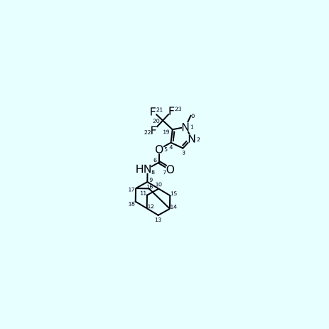 Cn1ncc(OC(=O)NC2C3CC4CC(C3)CC2C4)c1C(F)(F)F